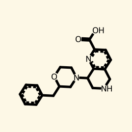 O=C(O)c1ccc2c(n1)C(N1CCOC(Cc3ccccc3)C1)CNC2